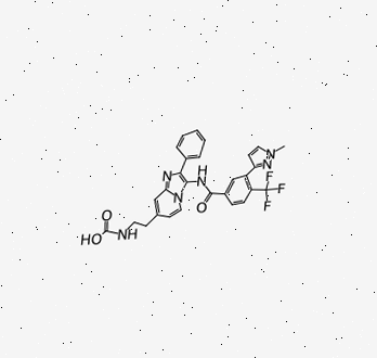 Cn1ccc(-c2cc(C(=O)Nc3c(-c4ccccc4)nc4cc(CCNC(=O)O)ccn34)ccc2C(F)(F)F)n1